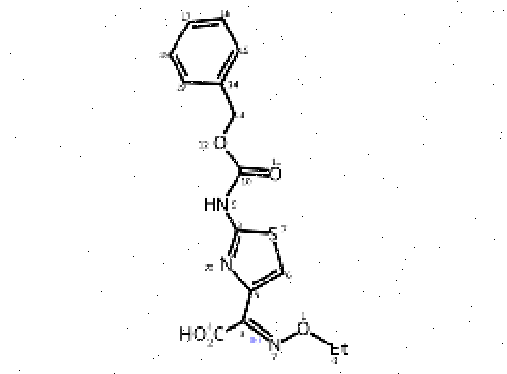 CCO/N=C(/C(=O)O)c1csc(NC(=O)OCc2ccccc2)n1